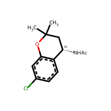 CC(=O)N[C@H]1CC(C)(C)Oc2cc(Cl)ccc21